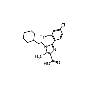 Cc1cc(Cl)ccc1-c1nc(C(=O)O)c(C)n1CCC1CCCCC1